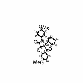 COc1ccc(C(=O)C2C(=O)C(=O)N(c3ccc(OC)cc3)C2c2ccccc2)cc1